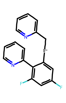 Fc1cc(F)c(-c2ccccn2)[c]([Ir+][CH2]c2ccccn2)c1